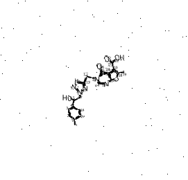 Cc1ccc(C(O)Cn2nnc(Cn3cnc4oc(C)c(C(=O)O)c4c3=O)n2)cc1